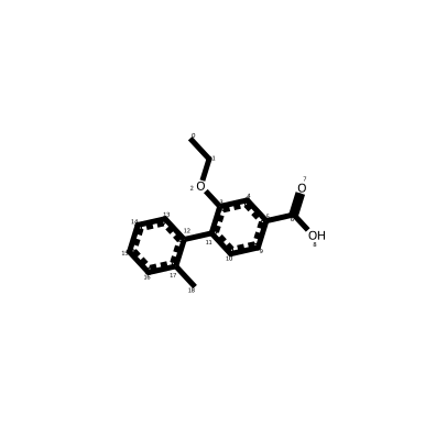 CCOc1cc(C(=O)O)ccc1-c1ccccc1C